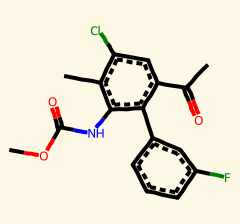 COC(=O)Nc1c(C)c(Cl)cc(C(C)=O)c1-c1cccc(F)c1